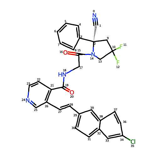 N#C[C@]1(c2ccccc2)CC(F)(F)CN1C(=O)CNC(=O)c1ccncc1/C=C/c1ccc2cc(Cl)ccc2c1